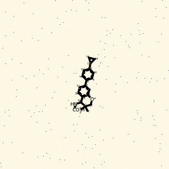 CC1(C)COc2cc(-c3ccc(C4CC4)cc3)ccc2C1NC(=O)O